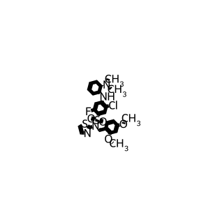 COc1ccc(CN(c2nccs2)S(=O)(=O)c2cc(Cl)c(NC3CC=CC[C@@H]3N(C)C)cc2F)c(OC)c1